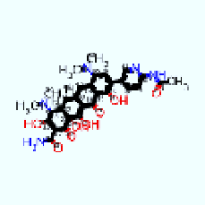 CC(=O)Nc1ccc(-c2cc(N(C)C)c3c(c2O)C(=O)C2=C(O)[C@]4(O)C(=O)C(C(N)=O)=C(O)[C@@H](N(C)C)[C@@H]4C[C@@H]2C3)cn1